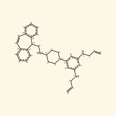 C=CCNc1nc(NCC=C)nc(N2CCC(NCC3c4ccccc4C=Cc4ccccc43)CC2)n1